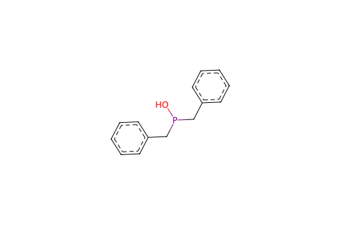 OP(Cc1ccccc1)Cc1ccccc1